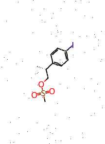 C[C@@H](COS(C)(=O)=O)c1ccc(I)cc1